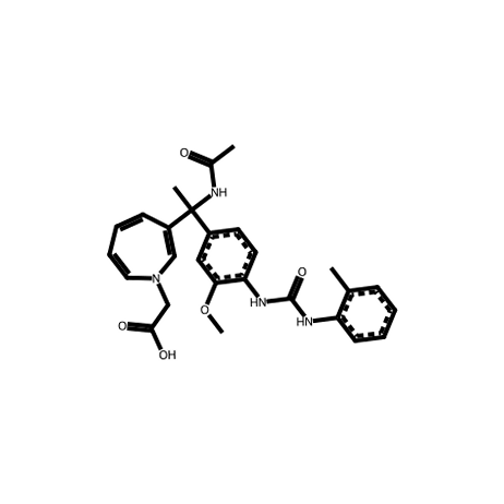 COc1cc(C(C)(NC(C)=O)C2=CN(CC(=O)O)C=CC=C2)ccc1NC(=O)Nc1ccccc1C